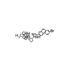 CC(C)(C)OC(=O)N[C@H]1CCC[C@@H]1c1ncc(-c2ccc3c(ccc4cc(Br)ccc43)c2)[nH]1